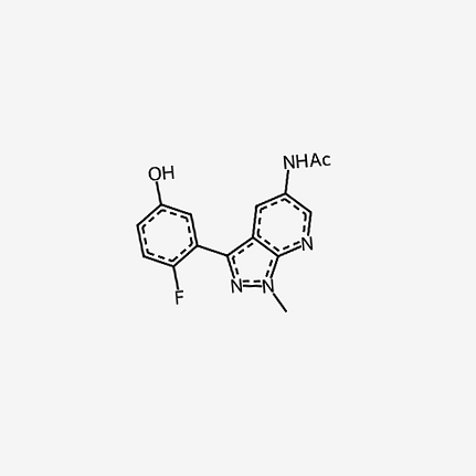 CC(=O)Nc1cnc2c(c1)c(-c1cc(O)ccc1F)nn2C